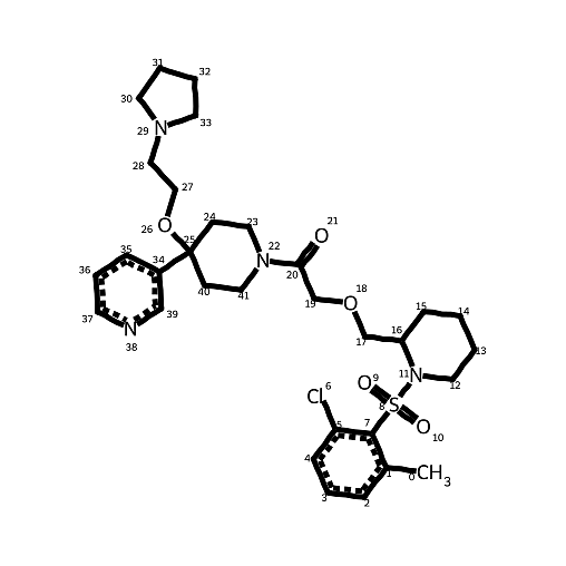 Cc1cccc(Cl)c1S(=O)(=O)N1CCCCC1COCC(=O)N1CCC(OCCN2CCCC2)(c2cccnc2)CC1